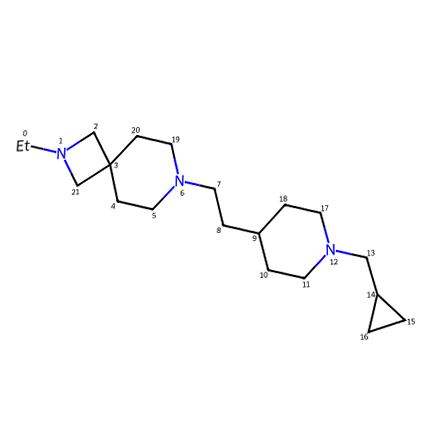 CCN1CC2(CCN(CCC3CCN(CC4CC4)CC3)CC2)C1